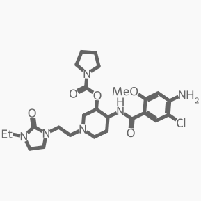 CCN1CCN(CCN2CCC(NC(=O)c3cc(Cl)c(N)cc3OC)C(OC(=O)N3CCCC3)C2)C1=O